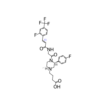 C[C@@H]1CN(C(=O)CNC(=O)/C=C/c2ccc(C(F)(F)F)cc2F)[C@@H](c2ccc(F)cc2)CN1CCCC(=O)O